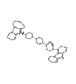 c1ccc2c(c1)sc1cccc(-c3ccc(-c4ccc(-c5ccc(-n6c7ccccc7c7ccccc76)cc5)cc4)cc3)c12